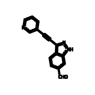 O=Cc1ccc2c(C#Cc3cccnc3)n[nH]c2c1